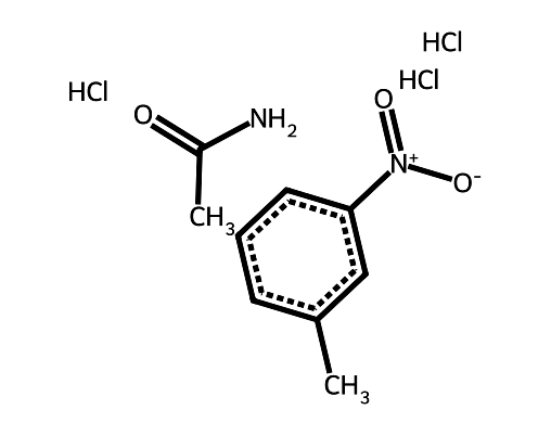 CC(N)=O.Cc1cccc([N+](=O)[O-])c1.Cl.Cl.Cl